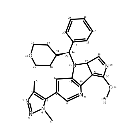 Cc1nnn(C)c1-c1cnc2c(c1)N([C@H](c1ccccc1)C1CCOCC1)C1C=NC(OC(C)C)=C21